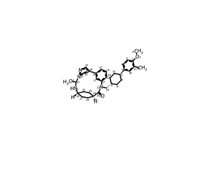 COc1ccc([C@H]2CC[C@H](CN3c4cccc(c4)-c4cnn(c4)C(C)N[C@H]4CC[C@@H](CC4)C3=O)CC2)cc1C